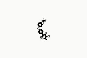 Cc1[nH]c(C)c(-c2ccc(Oc3ccc(OC(F)(F)F)cc3)cc2)c(=O)c1Cl